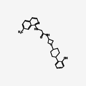 Cc1ccc2ccnc(NCC(=O)NC3CN(C4CCC(c5ccccc5O)CC4)C3)c2c1